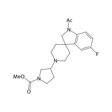 COC(=O)N1CCC(N2CCC3(CC2)CN(C(C)=O)c2ccc(F)cc23)C1